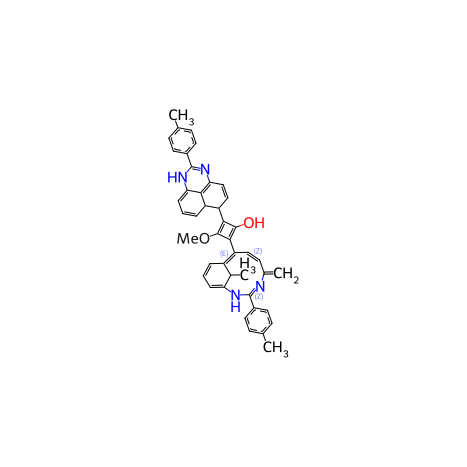 C=C1/C=C\C(C2=C(O)C(C3C=CC4=C5C(=CC=CC53)NC(c3ccc(C)cc3)=N4)=C2OC)=C2\C=CC=C(N/C(c3ccc(C)cc3)=N\1)C2C